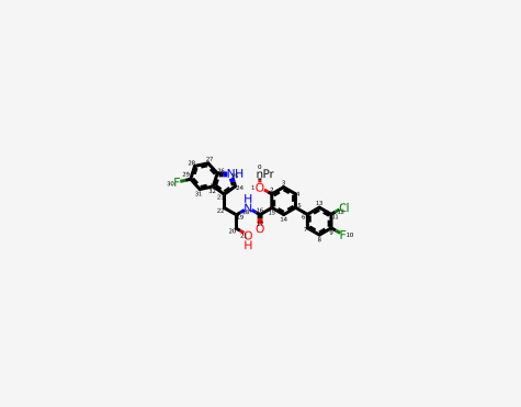 CCCOc1ccc(-c2ccc(F)c(Cl)c2)cc1C(=O)NC(CO)Cc1c[nH]c2ccc(F)cc12